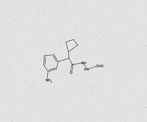 Nc1cccc(C(C(=O)NNC=O)C2CCC2)c1